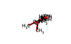 CCCCCCCCCC(=O)OC[C@H](CSC[C@@H](N)C(=O)Nc1cn([C@@H]2OC(CO)C(O)C(O)C2O)nn1)OC(=O)CCCCCCCCC